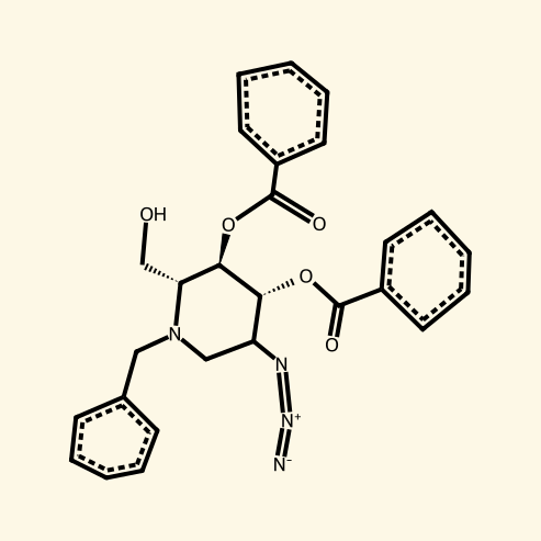 [N-]=[N+]=NC1CN(Cc2ccccc2)[C@H](CO)[C@@H](OC(=O)c2ccccc2)[C@@H]1OC(=O)c1ccccc1